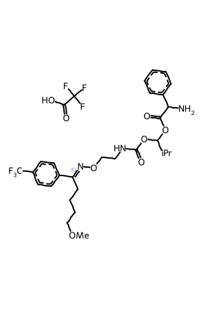 COCCCC/C(=N\OCCNC(=O)OC(OC(=O)C(N)c1ccccc1)C(C)C)c1ccc(C(F)(F)F)cc1.O=C(O)C(F)(F)F